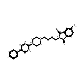 O=C1c2ccc(C(F)(F)F)cc2C(=O)N1CCCCN1CCN(c2ncc(-c3ccccc3)cn2)CC1